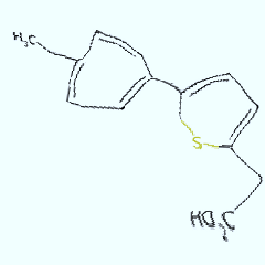 Cc1ccc(-c2ccc(CC(=O)O)s2)cc1